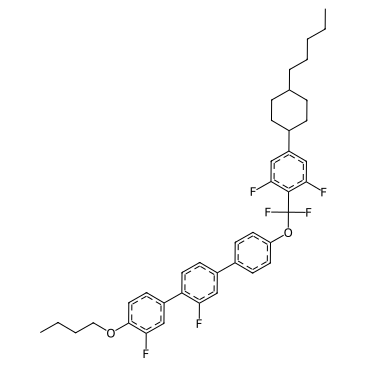 CCCCCC1CCC(c2cc(F)c(C(F)(F)Oc3ccc(-c4ccc(-c5ccc(OCCCC)c(F)c5)c(F)c4)cc3)c(F)c2)CC1